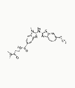 CN(C)C(=O)CCNC(=O)c1ccc2c(c1)nc(Nc1nc3ccc(OC(F)(F)F)cc3s1)n2C